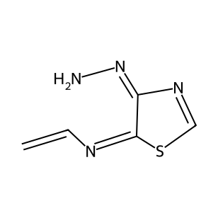 C=C/N=C1/SC=N/C1=N/N